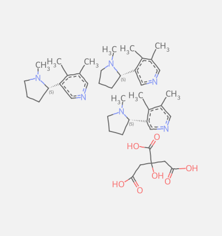 Cc1cncc([C@@H]2CCCN2C)c1C.Cc1cncc([C@@H]2CCCN2C)c1C.Cc1cncc([C@@H]2CCCN2C)c1C.O=C(O)CC(O)(CC(=O)O)C(=O)O